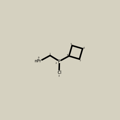 CCCCP(Cl)C1CCC1